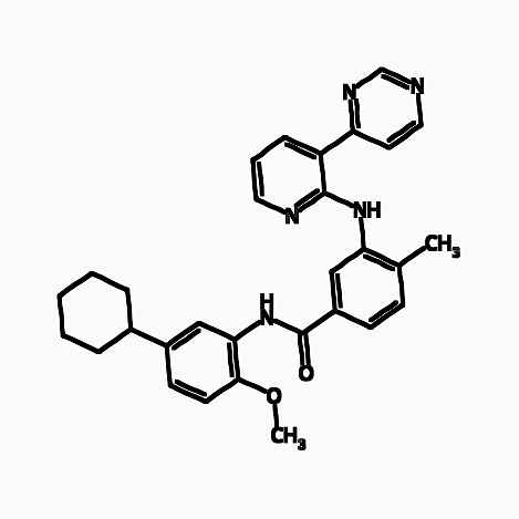 COc1ccc(C2CCCCC2)cc1NC(=O)c1ccc(C)c(Nc2ncccc2-c2ccncn2)c1